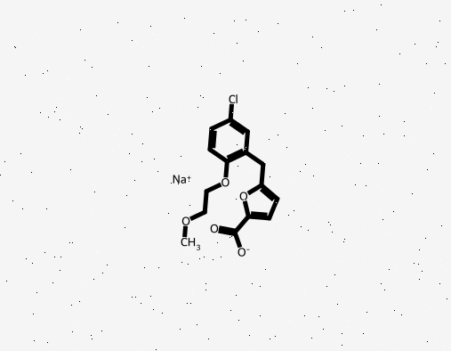 COCCOc1ccc(Cl)cc1Cc1ccc(C(=O)[O-])o1.[Na+]